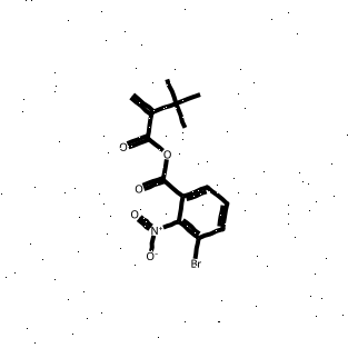 C=C(C(=O)OC(=O)c1cccc(Br)c1[N+](=O)[O-])C(C)(C)C